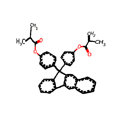 C=C(C)C(=O)Oc1ccc(C2(c3ccc(OC(=O)C(C)C)cc3)c3ccccc3-c3cc4ccccc4cc32)cc1